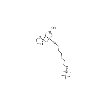 CC(C)(C)[Si](C)(C)OCCCCCCC#CC12C[C@@H](O)CC1C1(C2)OCCO1